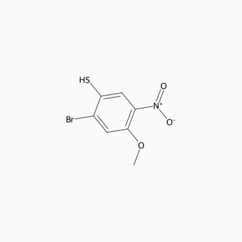 COc1cc(Br)c(S)cc1[N+](=O)[O-]